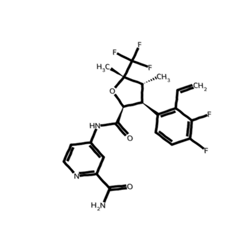 C=Cc1c([C@H]2[C@@H](C(=O)Nc3ccnc(C(N)=O)c3)O[C@](C)(C(F)(F)F)[C@@H]2C)ccc(F)c1F